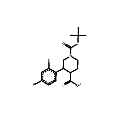 CC(C)(C)OC(=O)N1CCC(C(=O)O)C(c2ccc(F)cc2F)C1